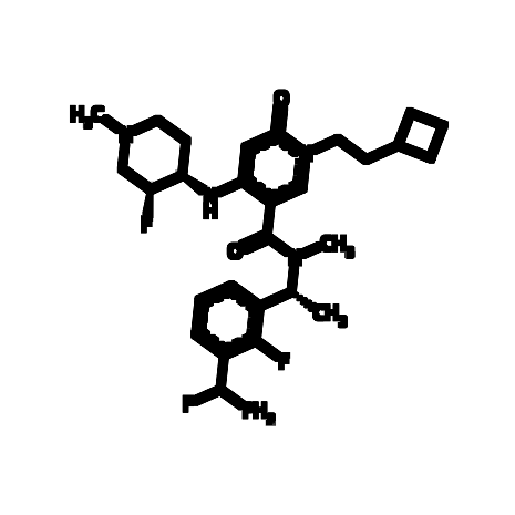 C[C@H](c1cccc(C(F)P)c1F)N(C)C(=O)c1cn(CCC2CCC2)c(=O)cc1N[C@@H]1CCN(C)C[C@@H]1F